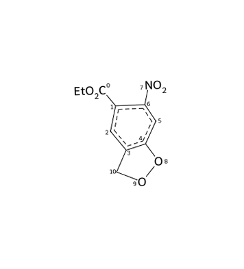 CCOC(=O)c1cc2c(cc1[N+](=O)[O-])OOC2